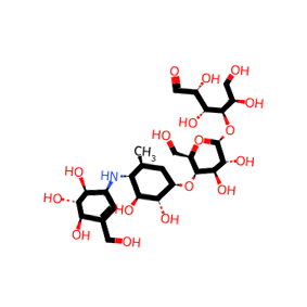 C[C@H]1C[C@H](O[C@H]2[C@H](O)[C@@H](O)[C@@H](O[C@@H]([C@H](O)[C@@H](O)C=O)[C@H](O)CO)O[C@@H]2CO)[C@H](O)[C@@H](O)[C@@H]1N[C@H]1C=C(CO)[C@@H](O)[C@H](O)[C@H]1O